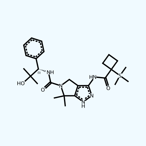 CC(C)(O)[C@@H](NC(=O)N1Cc2c(NC(=O)C3(S(C)(C)C)CCC3)n[nH]c2C1(C)C)c1ccccc1